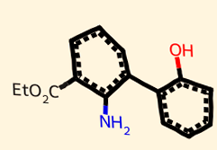 CCOC(=O)c1cccc(-c2ccccc2O)c1N